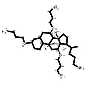 CC(CCCN)C1CC[C@H]2C3[C@H](OCCCN)CC4CC(OCCCN)CC[C@]4(C)[C@H]3C[C@H](OCCCN)[C@]12C